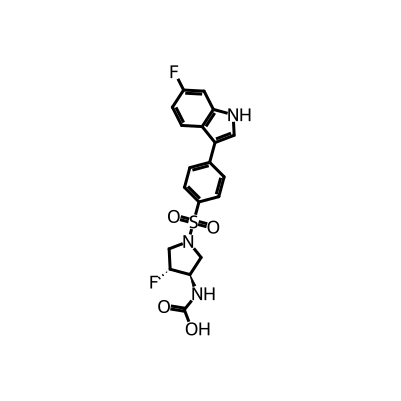 O=C(O)N[C@@H]1CN(S(=O)(=O)c2ccc(-c3c[nH]c4cc(F)ccc34)cc2)C[C@H]1F